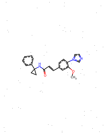 COc1cc(C=CC(=O)NC2(c3ccccc3)CC2)ccc1-n1ccnc1